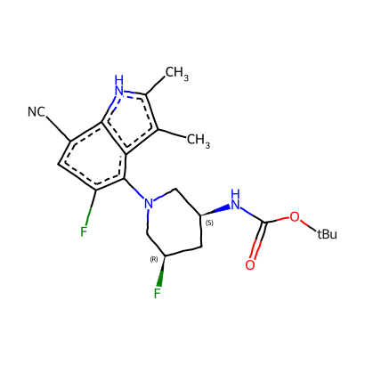 Cc1[nH]c2c(C#N)cc(F)c(N3C[C@H](F)C[C@H](NC(=O)OC(C)(C)C)C3)c2c1C